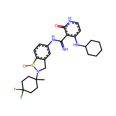 CC1(N2Cc3cc(NC(=N)c4c(NC5CCCCC5)cc[nH]c4=O)ccc3[S+]2[O-])CCC(F)(F)CC1